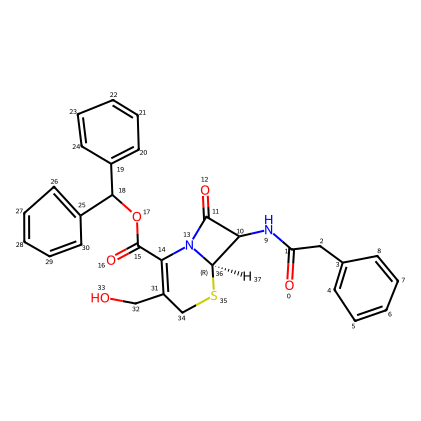 O=C(Cc1ccccc1)NC1C(=O)N2C(C(=O)OC(c3ccccc3)c3ccccc3)=C(CO)CS[C@H]12